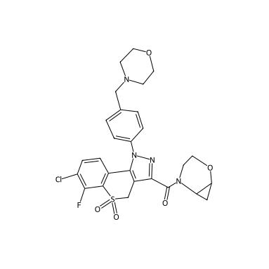 O=C(c1nn(-c2ccc(CN3CCOCC3)cc2)c2c1CS(=O)(=O)c1c-2ccc(Cl)c1F)N1CCOC2CC21